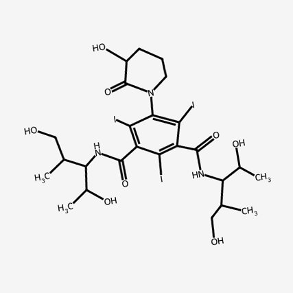 CC(O)C(NC(=O)c1c(I)c(C(=O)NC(C(C)O)C(C)CO)c(I)c(N2CCCC(O)C2=O)c1I)C(C)CO